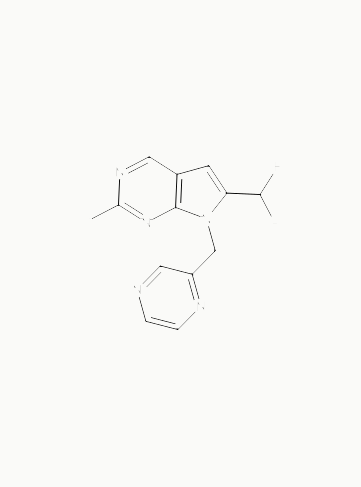 FC(F)c1cc2cnc(Cl)nc2n1Cc1cnccn1